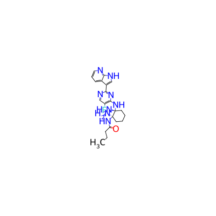 CCCC(=O)N[C@]1(N)CCCC[C@@]1(N)Nc1nc(-c2c[nH]c3ncccc23)ncc1F